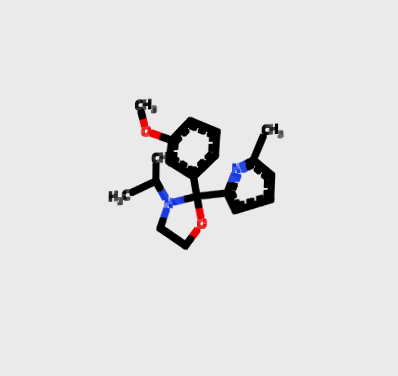 COc1cccc(C2(c3cccc(C)n3)OCCN2C(C)C)c1